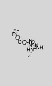 CCCCNc1c[nH]nc1-c1nc(-c2ccc(Oc3ccc(C(F)(F)F)cc3)cc2)no1